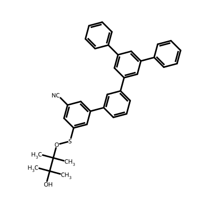 CC(C)(O)C(C)(C)OSc1cc(C#N)cc(-c2cccc(-c3cc(-c4ccccc4)cc(-c4ccccc4)c3)c2)c1